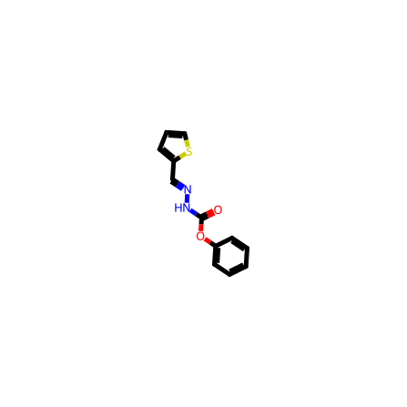 O=C(NN=Cc1cccs1)Oc1ccccc1